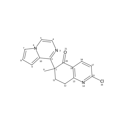 CC1(c2nccn3cccc23)CCc2nc(Cl)ccc2C1=O